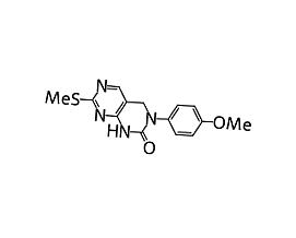 COc1ccc(N2Cc3cnc(SC)nc3NC2=O)cc1